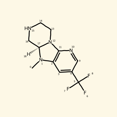 CN1c2cc(C(F)(F)F)cnc2N2CCNC[C@H]12